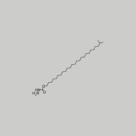 CC(C)CCCCCCCCCCCCCCCCCCCCCCCOC(=O)NN